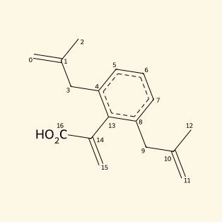 C=C(C)Cc1cccc(CC(=C)C)c1C(=C)C(=O)O